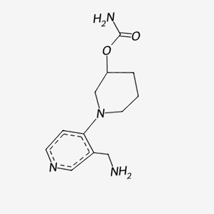 NCc1cnccc1N1CCCC(OC(N)=O)C1